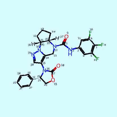 O=C(Nc1cc(F)c(F)c(F)c1)N1Cc2c(N3C(=O)OC[C@@H]3c3ccccc3)cnn2[C@@H]2CCC[C@@H]21